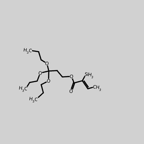 CC=C([SiH3])C(=O)OCCC(OCCC)(OCCC)OCCC